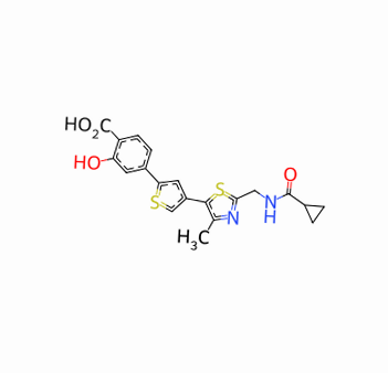 Cc1nc(CNC(=O)C2CC2)sc1-c1csc(-c2ccc(C(=O)O)c(O)c2)c1